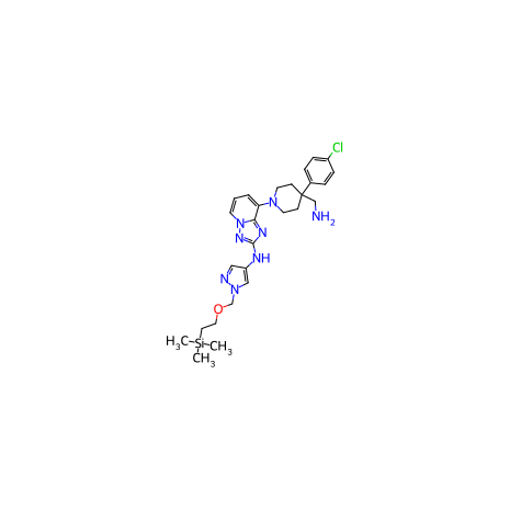 C[Si](C)(C)CCOCn1cc(Nc2nc3c(N4CCC(CN)(c5ccc(Cl)cc5)CC4)cccn3n2)cn1